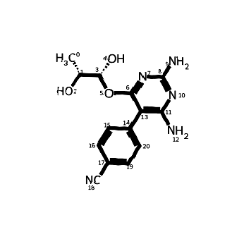 C[C@@H](O)[C@H](O)Oc1nc(N)nc(N)c1-c1ccc(C#N)cc1